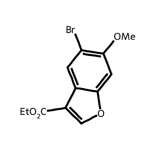 CCOC(=O)c1coc2cc(OC)c(Br)cc12